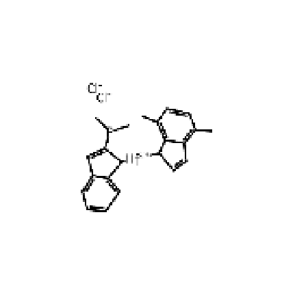 Cc1ccc(C)c2c1C=C[CH]2[Hf+2][CH]1C(P(C)C)=Cc2ccccc21.[Cl-].[Cl-]